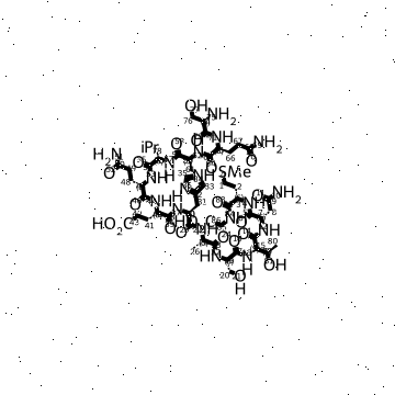 CSCC[C@H](NC(=O)[C@H](CC(N)=O)NC(=O)[C@@H](NC(=O)[C@H](CO)NC(=O)[C@H](C)NC(=O)[C@H](Cc1c[nH]cn1)NC(=O)[C@H](CCC(=O)O)NC(=O)[C@H](CCC(N)=O)NC(=O)[C@@H](NC(=O)[C@H](C)NC(=O)[C@H](CCC(N)=O)NC(=O)[C@@H](N)CO)C(C)C)[C@@H](C)O)C(=O)NCC(=O)O